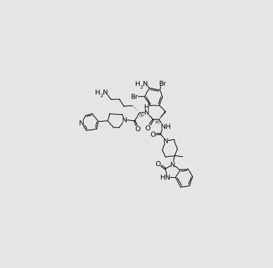 CC1(n2c(=O)[nH]c3ccccc32)CCN(C(=O)N[C@H](Cc2cc(Br)c(N)c(Br)c2)C(=O)N[C@@H](CCCCN)C(=O)N2CCC(c3ccncc3)CC2)CC1